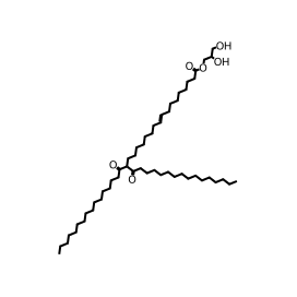 CCCCCCCCCCCCCCCC(=O)C(CCCCCCCC=CCCCCCCCC(=O)OCC(O)CO)C(=O)CCCCCCCCCCCCCCC